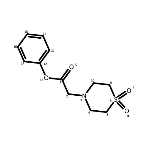 O=C(CN1CCS(=O)(=O)CC1)Oc1ccccc1